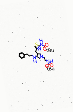 CC(C)(C)OC(=O)NCCN1CC(Cc2csc(NC(=O)OC(C)(C)C)n2)C(NCCCc2ccccc2)C1